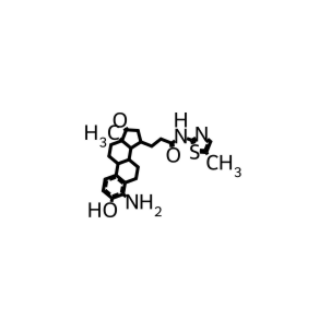 Cc1cnc(NC(=O)CCC2CC(=O)C3(C)CCC4c5ccc(O)c(N)c5CCC4C23)s1